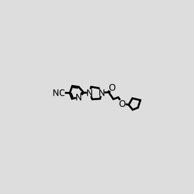 N#Cc1ccc(N2CCN(C(=O)CCOC3CCCC3)CC2)nc1